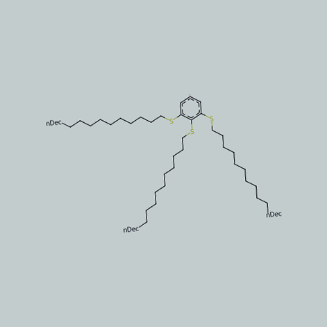 CCCCCCCCCCCCCCCCCCCCSc1c[c]cc(SCCCCCCCCCCCCCCCCCCCC)c1SCCCCCCCCCCCCCCCCCCCC